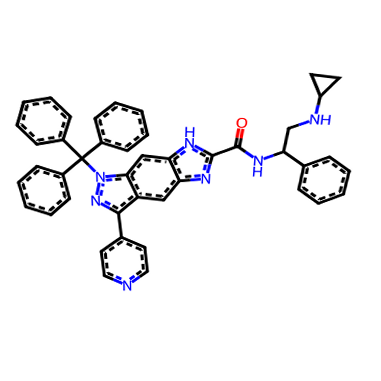 O=C(NC(CNC1CC1)c1ccccc1)c1nc2cc3c(-c4ccncc4)nn(C(c4ccccc4)(c4ccccc4)c4ccccc4)c3cc2[nH]1